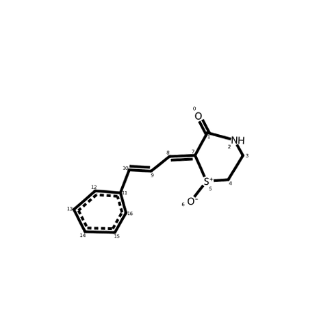 O=C1NCC[S+]([O-])C1=CC=Cc1ccccc1